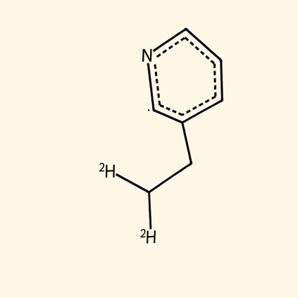 [2H]C([2H])Cc1[c]nccc1